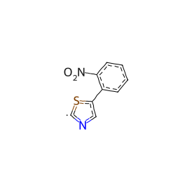 O=[N+]([O-])c1ccccc1-c1cn[c]s1